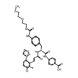 COCCOCCOC(=O)Nc1ccc(C[C@H](NC(=O)/C=C/c2c(-n3cnnn3)ccc(Cl)c2F)C(=O)Nc2ccc(C(=O)O)cc2)cc1